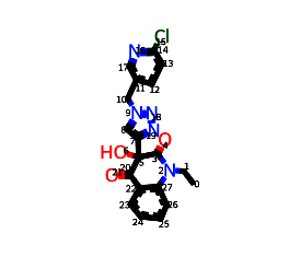 CCN1C(=O)C(O)(c2cn(Cc3ccc(Cl)nc3)nn2)C(=O)c2ccccc21